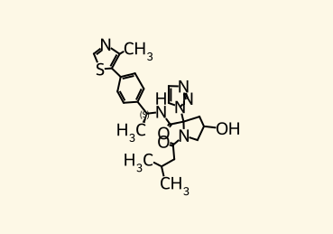 Cc1ncsc1-c1ccc([C@H](C)NC(=O)C2(n3ccnn3)CC(O)CN2C(=O)CC(C)C)cc1